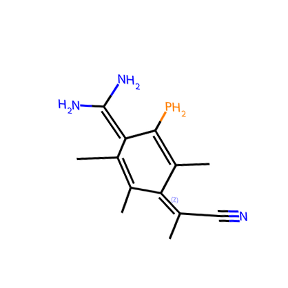 C/C(C#N)=c1\c(C)c(C)c(=C(N)N)c(P)c1C